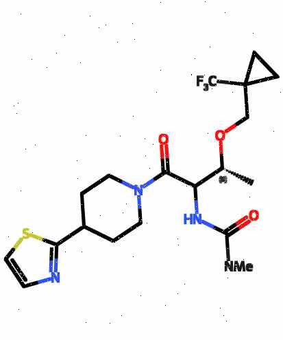 CNC(=O)NC(C(=O)N1CCC(c2nccs2)CC1)[C@@H](C)OCC1(C(F)(F)F)CC1